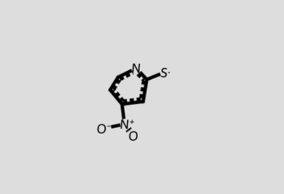 O=[N+]([O-])c1ccnc([S])c1